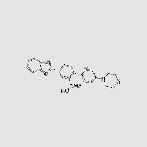 COc1cc(-c2nc3ccccc3o2)ccc1-c1ccc(N2CCOCC2)cn1.Cl